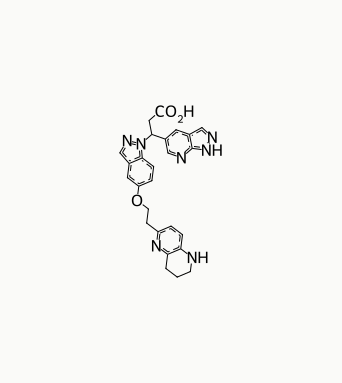 O=C(O)CC(c1cnc2[nH]ncc2c1)n1ncc2cc(OCCc3ccc4c(n3)CCCN4)ccc21